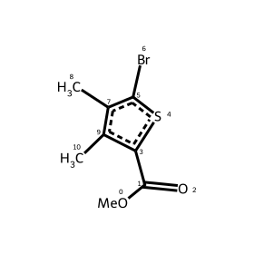 COC(=O)c1sc(Br)c(C)c1C